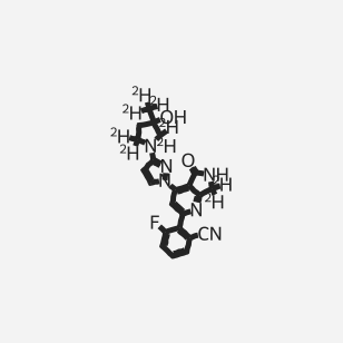 [2H]C1([2H])NC(=O)c2c(-n3ccc(N4C([2H])([2H])CC(O)(C([2H])([2H])[2H])C4([2H])[2H])n3)cc(-c3c(F)cccc3C#N)nc21